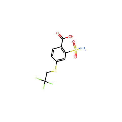 NS(=O)(=O)c1cc(SCC(F)(F)F)ccc1C(=O)O